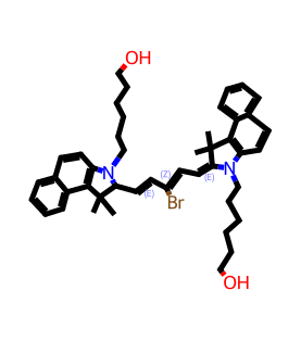 CC1(C)\C(=C/C=C(Br)/C=C/C2N(CCCCCCO)c3ccc4ccccc4c3C2(C)C)N(CCCCCCO)c2ccc3ccccc3c21